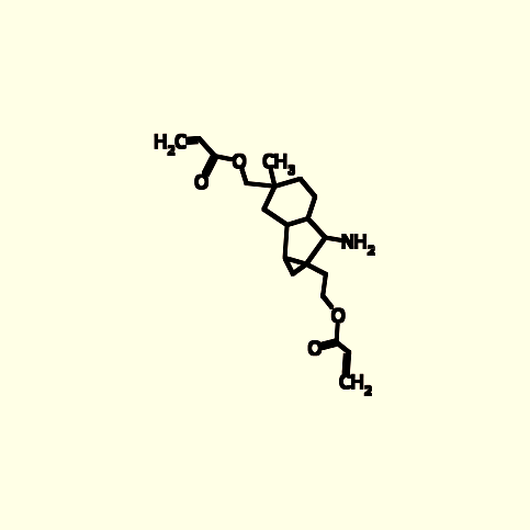 C=CC(=O)OCCC12CC1C1CC(C)(COC(=O)C=C)CCC1C2N